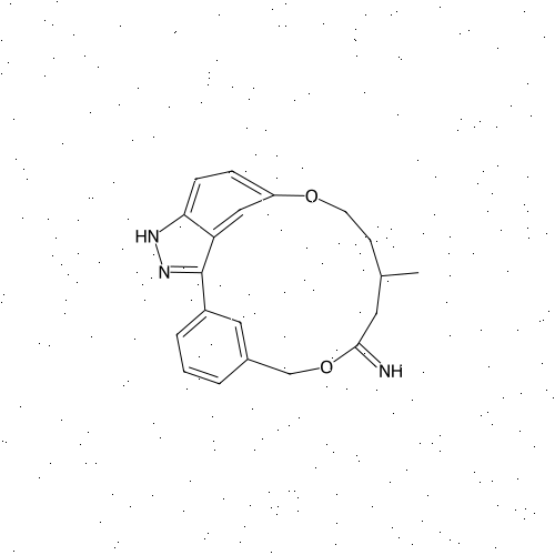 CC1CCOc2ccc3[nH]nc(c3c2)-c2cccc(c2)COC(=N)C1